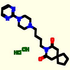 Cl.Cl.O=C1CC2(CCCC2)CC(=O)N1CCCCN1CCN(c2ncccn2)CC1